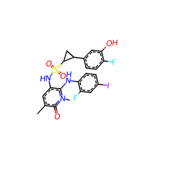 Cc1cc(NS(=O)(=O)C2CC2c2ccc(F)c(O)c2)c(Nc2ccc(I)cc2F)n(C)c1=O